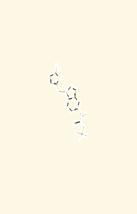 CC(C)(C)CC(=O)Nc1ccc2c(ccn2Cc2ccc(Cl)s2)c1